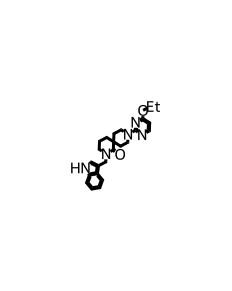 CCOc1ccnc(N2CCC3(CCCN(Cc4c[nH]c5ccccc45)C3=O)CC2)n1